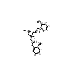 CNCC(C)(CNCc1ccccc1O)CNCc1ccccc1O